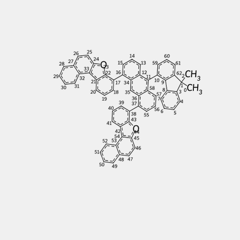 CC1(C)c2ccccc2-c2c(-c3c4cccc(-c5cccc6c5oc5ccc7ccccc7c56)c4cc4c(-c5cccc6c5oc5ccc7ccccc7c56)cccc34)cccc21